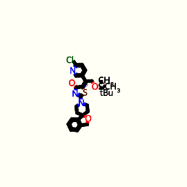 CC(C)(C)[Si](C)(C)OC/C(=C1\SC(N2CCC3(CC2)OCc2ccccc23)=NC1=O)c1ccc(Cl)nc1